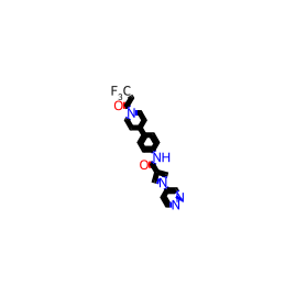 O=C(Nc1ccc(C2CCN(C(=O)CC(F)(F)F)CC2)cc1)C1CN(c2ccnnc2)C1